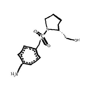 Nc1ccc(S(=O)(=O)N2CCC[C@@H]2CO)cc1